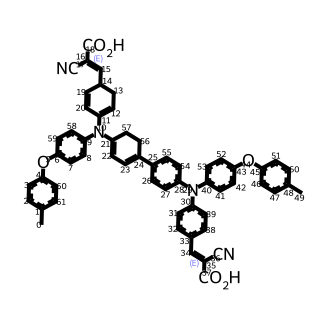 Cc1ccc(Oc2ccc(N(C3=CCC(/C=C(\C#N)C(=O)O)C=C3)C3=CC=C(c4ccc(N(c5ccc(/C=C(\C#N)C(=O)O)cc5)c5ccc(Oc6ccc(C)cc6)cc5)cc4)CC3)cc2)cc1